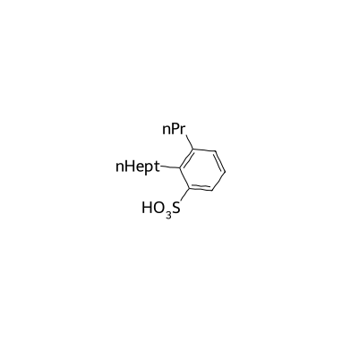 CCCCCCCc1c(CCC)cccc1S(=O)(=O)O